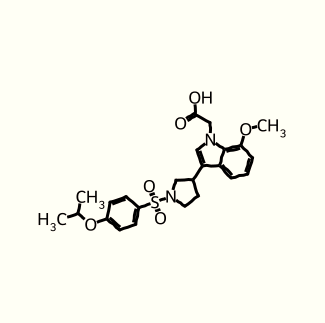 COc1cccc2c(C3CCN(S(=O)(=O)c4ccc(OC(C)C)cc4)C3)cn(CC(=O)O)c12